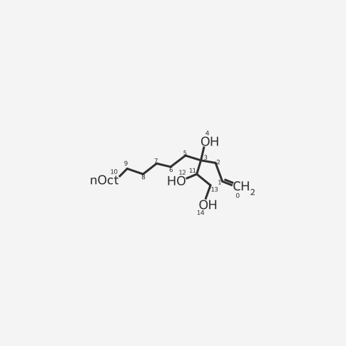 C=CCC(O)(CCCCCCCCCCCCC)C(O)CO